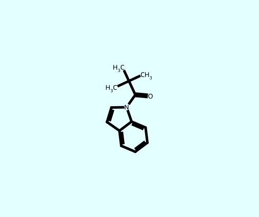 CC(C)(C)C(=O)n1ccc2ccccc21